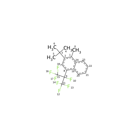 Cc1c(C(C)(C)C)cc(C(F)(C(F)(F)F)C(F)(F)F)c2ccccc12